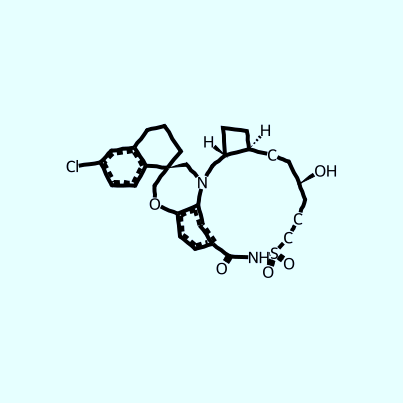 O=C1NS(=O)(=O)CCC[C@H](O)CC[C@@H]2CC[C@H]2CN2C[C@@]3(CCCc4cc(Cl)ccc43)COc3ccc1cc32